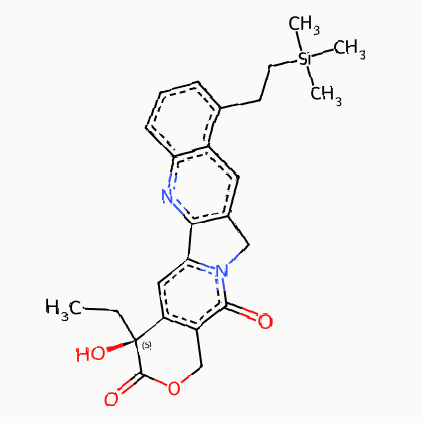 CC[C@@]1(O)C(=O)OCc2c1cc1n(c2=O)Cc2cc3c(CC[Si](C)(C)C)cccc3nc2-1